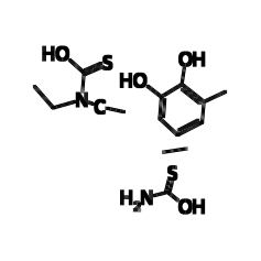 CC.CCN(CC)C(O)=S.Cc1cccc(O)c1O.NC(O)=S